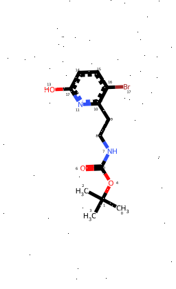 CC(C)(C)OC(=O)NCCc1nc(O)ccc1Br